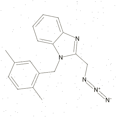 Cc1ccc(C)c(Cn2c(CN=[N+]=[N-])nc3ccccc32)c1